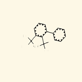 CC(C)(C)c1cccc(-c2[c]cccc2)c1C(C)(C)C